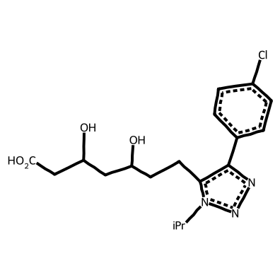 CC(C)n1nnc(-c2ccc(Cl)cc2)c1CCC(O)CC(O)CC(=O)O